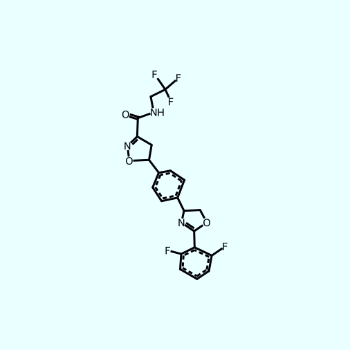 O=C(NCC(F)(F)F)C1=NOC(c2ccc(C3COC(c4c(F)cccc4F)=N3)cc2)C1